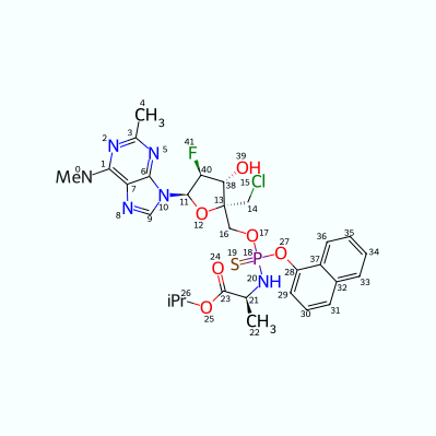 CNc1nc(C)nc2c1ncn2[C@@H]1O[C@](CCl)(COP(=S)(N[C@@H](C)C(=O)OC(C)C)Oc2cccc3ccccc23)[C@@H](O)[C@@H]1F